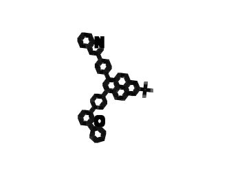 CC(C)(C)c1cc2ccc3c(C4=CCC(c5cccc6c5oc5ccccc56)C=C4)cc(-c4ccc(-c5cnc6ccccc6c5)cc4)c4ccc(c1)c2c34